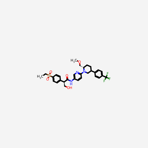 CCS(=O)(=O)c1ccc([C@H](CO)C(=O)Nc2ccc(N3CC(c4ccc(C(F)(F)F)cc4)CC[C@H]3COC)nc2)cc1